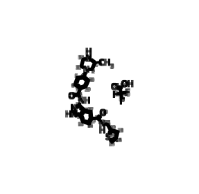 C[C@H]1CN(c2ccc(C(=O)Nc3n[nH]c4ccc(C(=O)NCc5cccs5)cc34)cc2)CCN1.O=C(O)C(F)(F)F